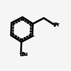 CC(C)Cc1[c]c(C(C)(C)C)ccc1